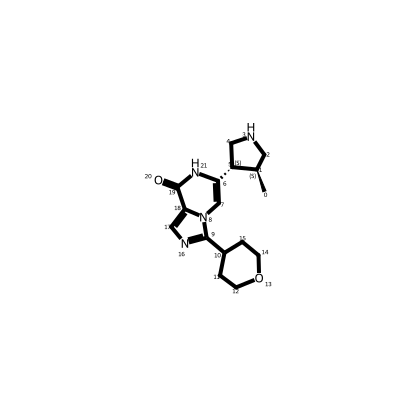 C[C@@H]1CNC[C@H]1c1cn2c(C3CCOCC3)ncc2c(=O)[nH]1